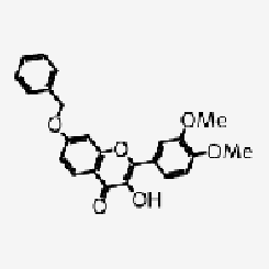 COc1ccc(-c2oc3cc(OCc4ccccc4)ccc3c(=O)c2O)cc1OC